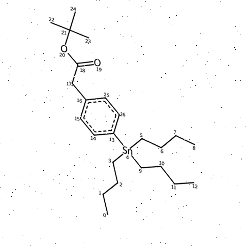 CCC[CH2][Sn]([CH2]CCC)([CH2]CCC)[c]1ccc([CH]C(=O)OC(C)(C)C)cc1